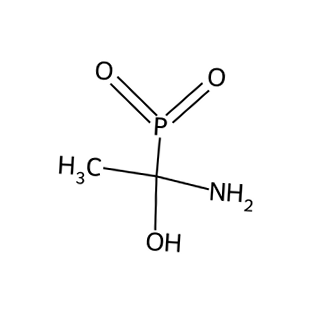 CC(N)(O)P(=O)=O